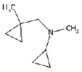 CN(CC1(C)CC1)C1CC1